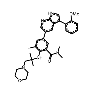 COc1ccccc1-c1c[nH]c2ncc(-c3cc(F)c(NC(C)(C)CN4CCOCC4)c(C(=O)N(C)C)c3)cc12